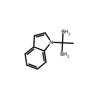 BC(B)(C)n1ccc2ccccc21